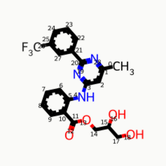 Cc1cc(Nc2ccccc2C(=O)OCC(O)CO)nc(-c2cccc(C(F)(F)F)c2)n1